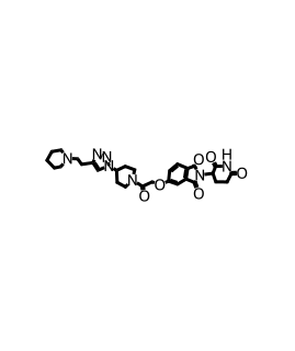 O=C1CCC(N2C(=O)c3ccc(OCC(=O)N4CCC(n5cc(CCN6CCCCC6)nn5)CC4)cc3C2=O)C(=O)N1